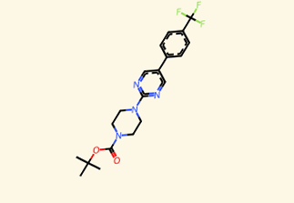 CC(C)(C)OC(=O)N1CCN(c2ncc(-c3ccc(C(F)(F)F)cc3)cn2)CC1